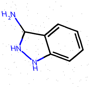 N[C]1NNc2ccccc21